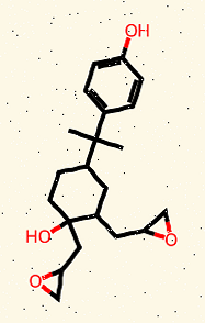 CC(C)(c1ccc(O)cc1)C1CCC(O)(CC2CO2)C(CC2CO2)C1